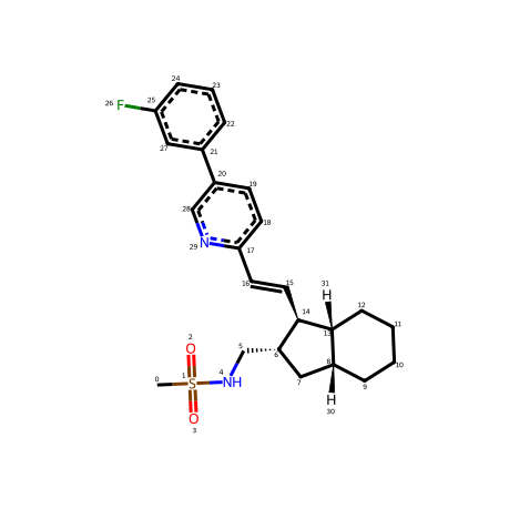 CS(=O)(=O)NC[C@H]1C[C@H]2CCCC[C@H]2[C@@H]1C=Cc1ccc(-c2cccc(F)c2)cn1